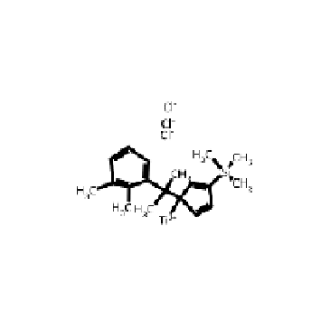 Cc1cccc(C(C)(C)[C]2([Ti+3])C=CC([Si](C)(C)C)=C2)c1C.[Cl-].[Cl-].[Cl-]